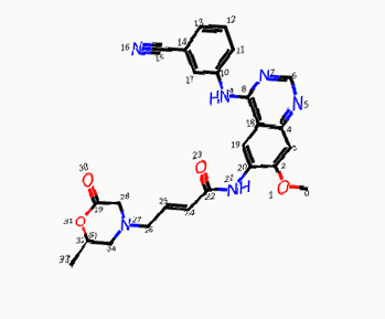 COc1cc2ncnc(Nc3cccc(C#N)c3)c2cc1NC(=O)C=CCN1CC(=O)O[C@H](C)C1